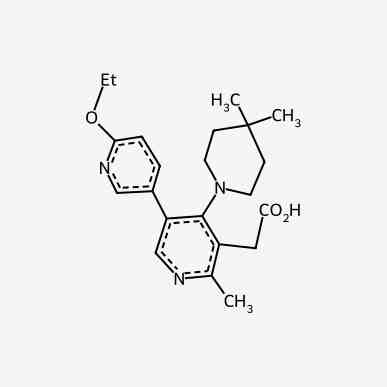 CCOc1ccc(-c2cnc(C)c(CC(=O)O)c2N2CCC(C)(C)CC2)cn1